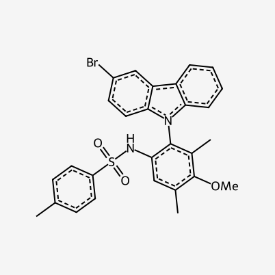 COc1c(C)cc(NS(=O)(=O)c2ccc(C)cc2)c(-n2c3ccccc3c3cc(Br)ccc32)c1C